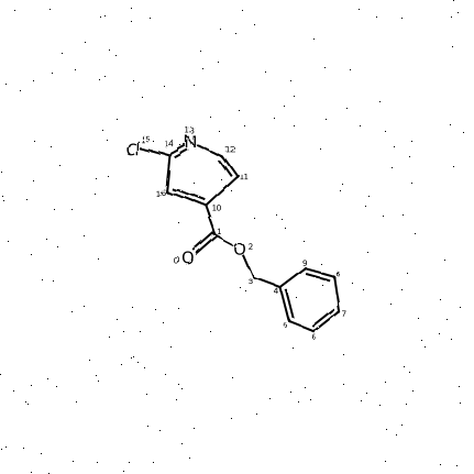 O=C(OCc1ccccc1)c1ccnc(Cl)c1